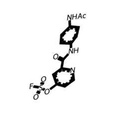 CC(=O)Nc1ccc(NC(=O)c2cc(OS(=O)(=O)F)ccn2)cc1